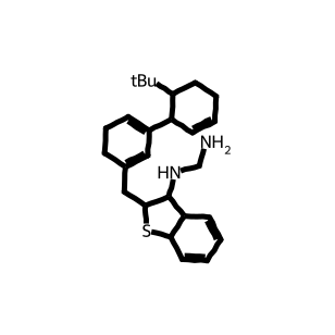 CC(C)(C)C1CCC=CC1C1=CCCC(CC2SC3C=CC=CC3C2NCN)=C1